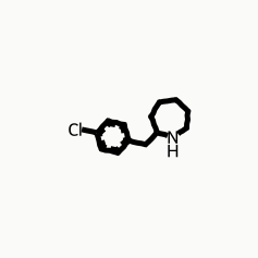 Clc1ccc(CC2CCCCCN2)cc1